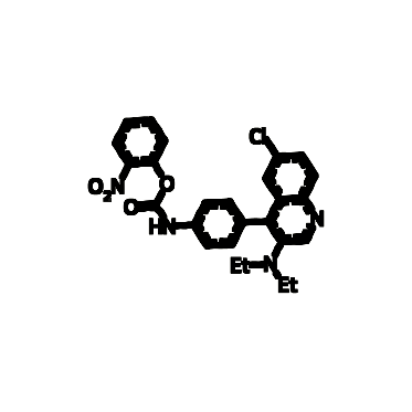 CCN(CC)c1cnc2ccc(Cl)cc2c1-c1ccc(NC(=O)Oc2ccccc2[N+](=O)[O-])cc1